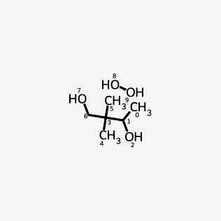 CC(O)C(C)(C)CO.OO